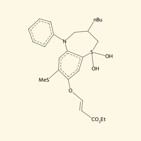 CCCCC1CN(c2ccccc2)c2cc(SC)c(O/C=C/C(=O)OCC)cc2S(O)(O)C1